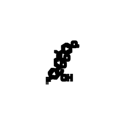 COc1ccc([C@H](C)N2CC[C@](CCO)(c3ccc(F)cc3)OC2=O)cc1